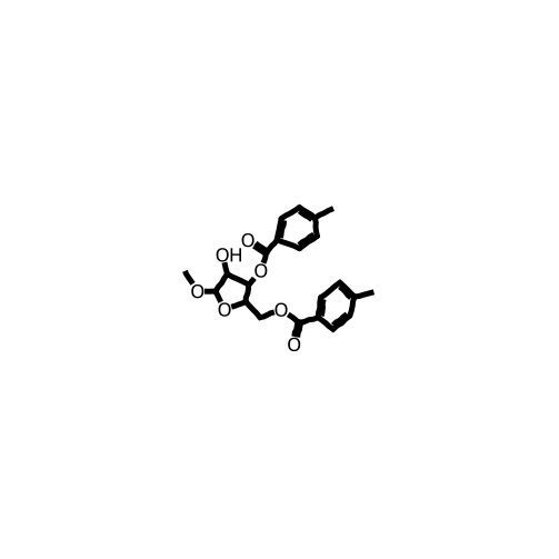 COC1OC(COC(=O)c2ccc(C)cc2)C(OC(=O)c2ccc(C)cc2)C1O